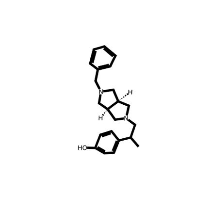 CC(CN1C[C@H]2CN(Cc3ccccc3)C[C@H]2C1)c1ccc(O)cc1